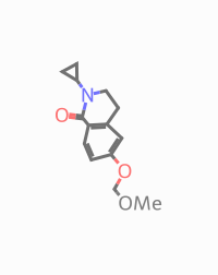 COCOc1ccc2c(c1)CCN(C1CC1)C2=O